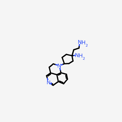 NCCC1(N)CCC(N2CCc3cncc4cccc2c34)CC1